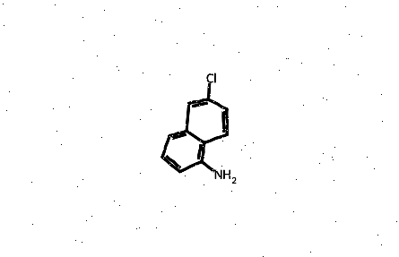 Nc1cccc2cc(Cl)ccc12